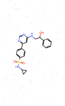 O=S(=O)(NC1CC1)c1ccc(-c2cc(NCC(O)c3ccccc3)ncn2)cc1